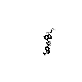 CC(C)n1ccc2cc(-c3nc(-c4cccc5c4CCC5NCCO)no3)ccc21